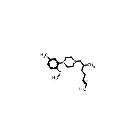 C/C=C/CCC(C)CN1CCN(c2cc(C)ccc2OC)CC1